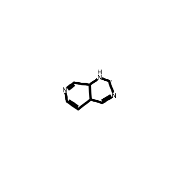 [C]1N=CC2C=CN=CC2N1